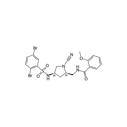 COc1ccccc1C(=O)NC[C@H]1C[C@@H](NS(=O)(=O)c2cc(Br)ccc2Br)CN1C#N